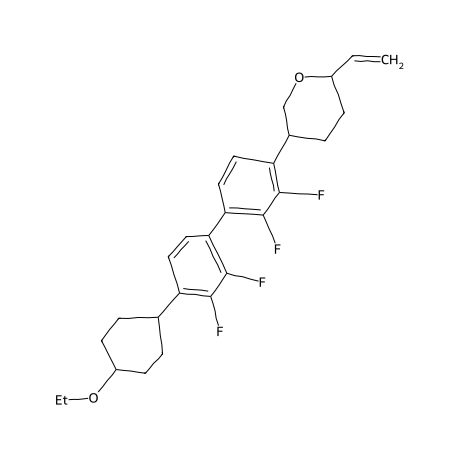 C=CC1CCC(c2ccc(-c3ccc(C4CCC(OCC)CC4)c(F)c3F)c(F)c2F)CO1